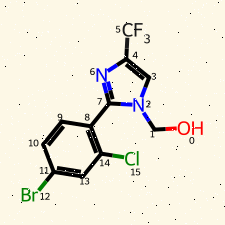 OCn1cc(C(F)(F)F)nc1-c1ccc(Br)cc1Cl